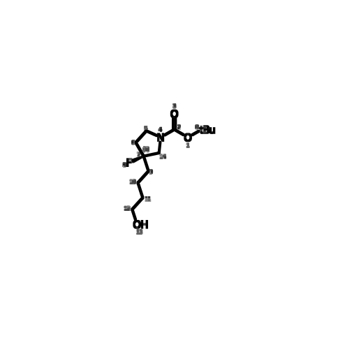 CC(C)(C)OC(=O)N1CC[C@@](F)(CCCCO)C1